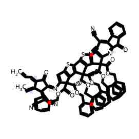 C=C/C=C1/C(=O)/C(=N\C2=Cc3sc4c(c3C2(C(=O)OCc2ccccc2)C(=O)OCc2ccccc2)C(C(=O)OCc2ccccc2)(C(=O)OCc2ccccc2)c2c-4sc3c2C(C(=O)OCc2ccccc2)(C(=O)OCc2ccccc2)C(/N=C2/C(=O)c4ccccc4C2=C(C#N)C#N)=C3)C(=C(C#N)C#N)/C1=C/C